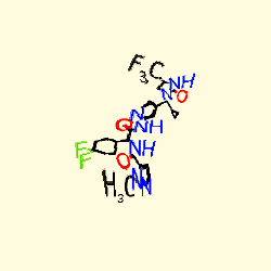 Cn1nccc1C(=O)N[C@H](C(=O)Nc1cc(C(C2CC2)N2C[C@@H](C(F)(F)F)NC2=O)ccn1)C1CCC(F)(F)CC1